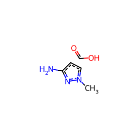 Cn1ccc(N)n1.O=CO